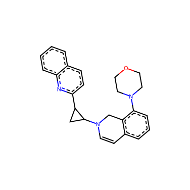 C1=CN(C2CC2c2ccc3ccccc3n2)Cc2c1cccc2N1CCOCC1